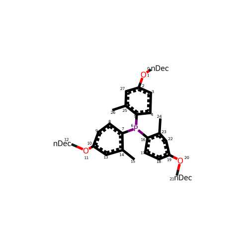 CCCCCCCCCCOc1ccc(P(c2ccc(OCCCCCCCCCC)cc2C)c2ccc(OCCCCCCCCCC)cc2C)c(C)c1